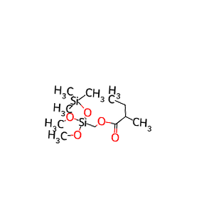 CCC(C)C(=O)OC[Si](OC)(OC)O[Si](C)(C)C